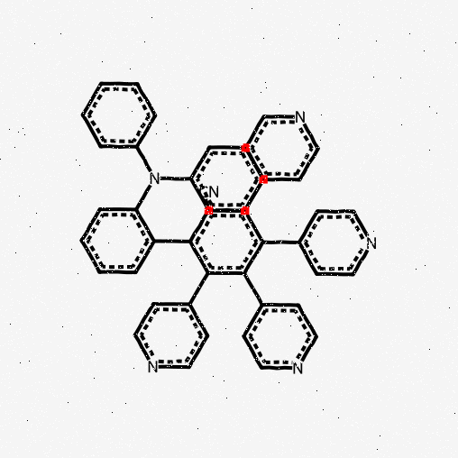 N#Cc1c(-c2ccncc2)c(-c2ccncc2)c(-c2ccncc2)c(-c2ccncc2)c1-c1ccccc1N(c1ccccc1)c1ccccc1